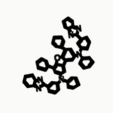 c1ccc(-c2cc(N(c3ccccc3)c3cccc(C4N=c5ccccc5=N4)c3)cc3c2oc2c(-c4ccccc4)cc(N(c4ccccc4)c4cccc(C5N=c6ccccc6=N5)c4)cc23)cc1